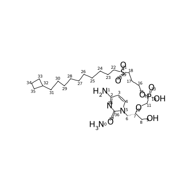 N.Nc1ccn(C[C@@H](CO)OCP(=O)(O)OCCCS(=O)(=O)CCCCCCCCCCC2CCC2)c(=O)n1